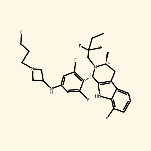 CCC(F)(F)CN1[C@@H](c2c(F)cc(NC3CN(CCCF)C3)cc2F)c2[nH]c3c(F)cccc3c2C[C@@H]1C